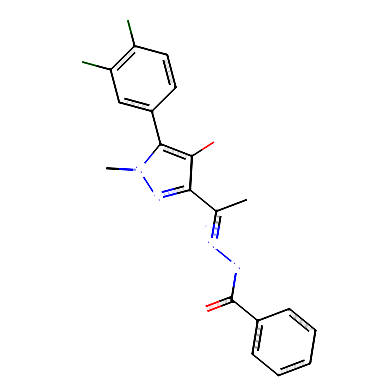 C/C(=N\NC(=O)c1ccccc1)c1nn(C)c(-c2ccc(F)c(Br)c2)c1O